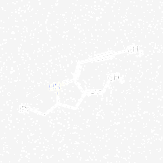 CC#C/C=C1/NC(CC(C)C)C/C1=C/C